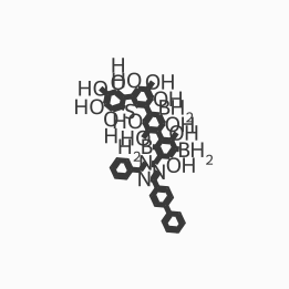 Bc1c(O)c(-c2nc(-c3ccccc3)nc(-c3ccc(-c4ccccc4)cc3)n2)c(B)c(-c2c(O)c(B)c(-c3c(O)c(O)c(O)c4c3sc3c(O)c(O)c(O)c(O)c34)c(O)c2O)c1O